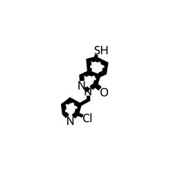 O=c1c2ccc(S)cc2cnn1Cc1cccnc1Cl